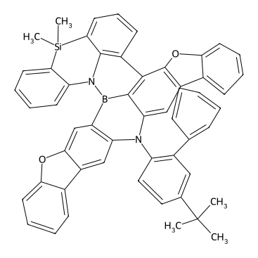 CC(C)(C)c1ccc(N2c3cc4c(cc3B3c5c2cc2c(oc6ccccc62)c5-c2cccc5c2N3c2ccccc2[Si]5(C)C)oc2ccccc24)c(-c2ccccc2)c1